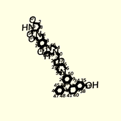 O=C1CCC(N2Cc3cc4c(cc3C2=O)OC[C@@H]2CN(CC3CCC5(CCN(c6ccc([C@@H]7c8ccc(O)cc8CC[C@@H]7c7ccccc7)cc6)CC5)O3)CCN42)C(=O)N1